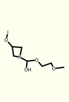 COCCOC(O)N1CC(OI)C1